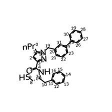 CCCc1cc(C(=O)N[C@@H](CS)Cc2ccccc2)nn1Cc1cccc(-c2ccccc2)c1